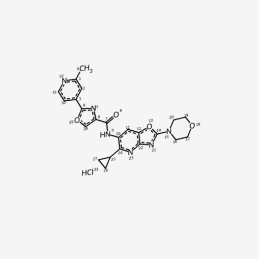 Cc1cc(-c2nc(C(=O)Nc3cc4oc(N5CCOCC5)nc4nc3C3CC3)co2)ccn1.Cl